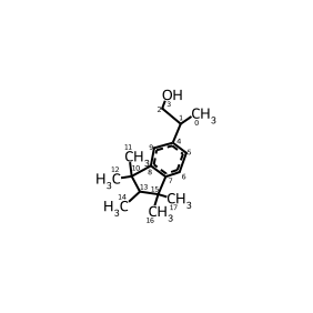 CC(CO)c1ccc2c(c1)C(C)(C)C(C)C2(C)C